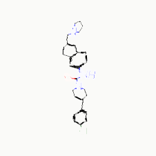 O=C(Nc1ccc2c(c1)CCC(CN1CCCC1)=C2)N1CC=C(c2ccc(Cl)cc2)CC1